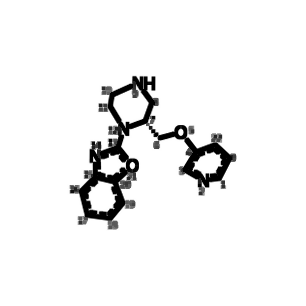 c1cncc(OC[C@H]2CNCCN2c2nc3ccccc3o2)c1